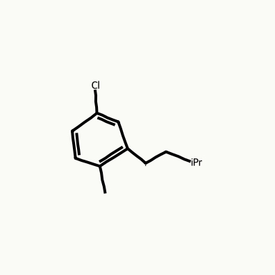 Cc1ccc(Cl)cc1[CH]CC(C)C